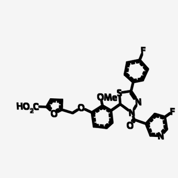 COc1c(OCc2ccc(C(=O)O)o2)cccc1C1SC(c2ccc(F)cc2)=NN1C(=O)c1cncc(F)c1